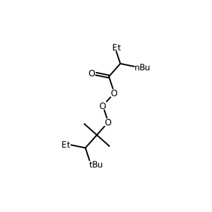 CCCCC(CC)C(=O)OOOC(C)(C)C(CC)C(C)(C)C